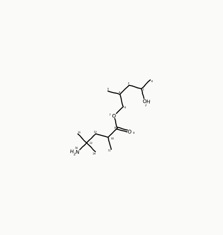 CC(O)CC(C)COC(=O)C(C)CC(C)(C)N